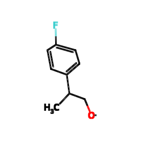 CC(C[O])c1ccc(F)cc1